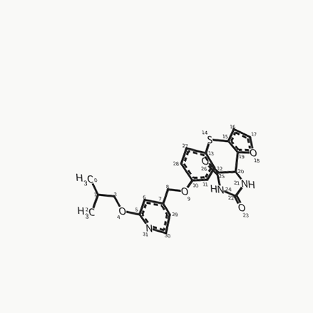 CC(C)COc1cc(COc2ccc(Sc3ccoc3C3NC(=O)NC3=O)cc2)ccn1